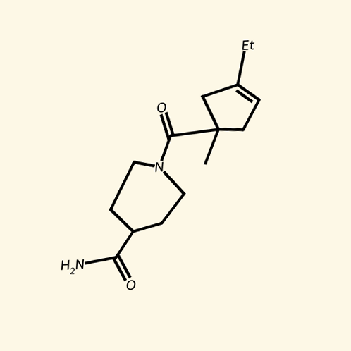 CCC1=CCC(C)(C(=O)N2CCC(C(N)=O)CC2)C1